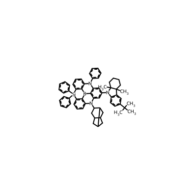 CC(C)(C)c1ccc2c(c1)C1(C)CCCCC1(C)N2c1cc2c3c(c1)N(C1CC4CC5CC4CC51)c1cccc4c1B3c1c(cccc1[Si]4(c1ccccc1)c1ccccc1)N2c1ccccc1